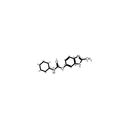 Cc1nc2ccc(OC(=O)NC3CCCCC3)cc2s1